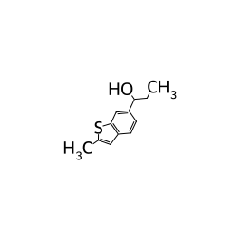 CCC(O)c1ccc2cc(C)sc2c1